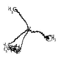 CCCCCCCCCCCCCCCCCC[N+](CCCCCCCCCCCCCCCCCC)(CCCCCCCCCCCCCCCCCC)CCCCCCCCCCCCCCCCCC.C[N+](C)(C)Cc1ccccc1.[O-][O-]